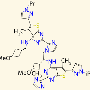 CO[C@H]1C[C@@H](CNc2nc(-c3nccn3CC(Nc3nc(-c4nccn4C)nc4sc(-c5ccn(C(C)C)n5)c(C)c34)[C@H]3C[C@H](OC)C3)nc3sc(-c4ccn(C(C)C)n4)c(C)c23)C1